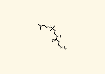 CC(C)CCOC(C)(C)CCNC(=O)CCN